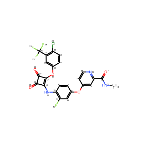 CNC(=O)c1cc(Oc2ccc(Nc3c(Oc4ccc(Cl)c(C(F)(F)F)c4)c(=O)c3=O)c(F)c2)ccn1